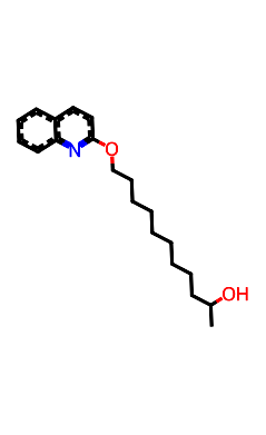 CC(O)CCCCCCCCCOc1ccc2ccccc2n1